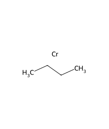 CCCC.[Cr]